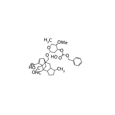 CO[C@H]1[C@@H](OC(=O)OCc2ccccc2)[C@H](O)[C@H](OCC23CC4C(C)CCC4C4(C=O)CC2C=C(C(C)C)C43C(=O)O)O[C@@H]1C